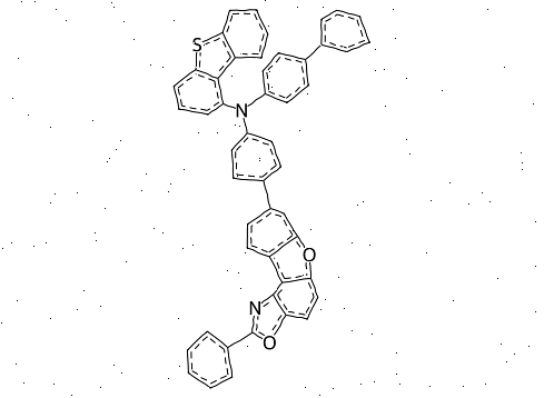 c1ccc(-c2ccc(N(c3ccc(-c4ccc5c(c4)oc4ccc6oc(-c7ccccc7)nc6c45)cc3)c3cccc4sc5ccccc5c34)cc2)cc1